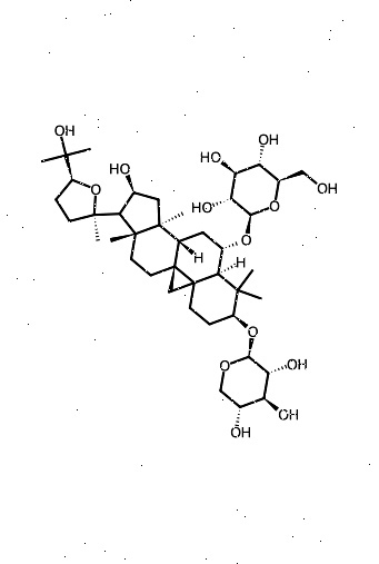 CC(C)(O)[C@@H]1CC[C@](C)(C2[C@@H](O)C[C@@]3(C)[C@@H]4C[C@H](O[C@@H]5O[C@H](CO)[C@@H](O)[C@H](O)[C@H]5O)[C@H]5C(C)(C)[C@@H](O[C@@H]6OC[C@@H](O)[C@H](O)[C@H]6O)CCC56C[C@@]46CC[C@]23C)O1